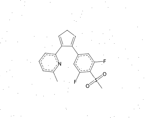 Cc1cccc(C2=CCC=C2c2cc(F)c(S(C)(=O)=O)c(F)c2)n1